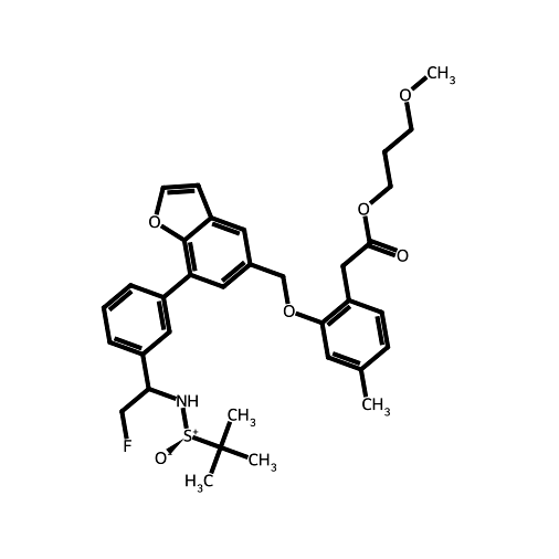 COCCCOC(=O)Cc1ccc(C)cc1OCc1cc(-c2cccc(C(CF)N[S@+]([O-])C(C)(C)C)c2)c2occc2c1